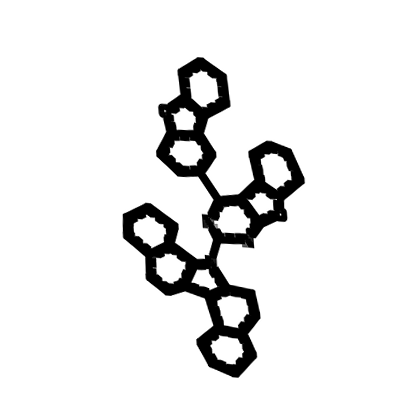 c1ccc2c(c1)ccc1c2c2ccc3ccccc3c2n1-c1nc(-c2ccc3oc4ccccc4c3c2)c2c(n1)oc1ccccc12